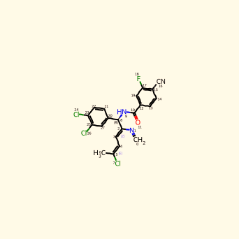 C=N/C(=C\C=C(/C)Cl)[C@H](NC(=O)c1ccc(C#N)c(F)c1)c1ccc(Cl)c(Cl)c1